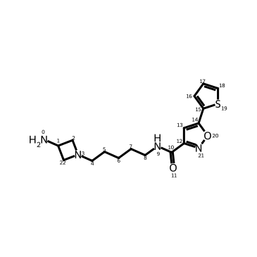 NC1CN(CCCCCNC(=O)c2cc(-c3cccs3)on2)C1